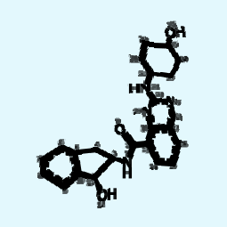 O=C(N[C@@H]1Cc2ccccc2[C@@H]1O)c1cccc2cnc(NC3CCC(O)CC3)nc12